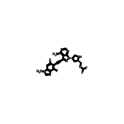 Cn1cnc2c(F)c(C#Cc3nn([C@@H]4CN[C@@H](COC(F)F)C4)c4ncnc(N)c34)c(F)cc21